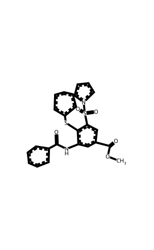 COC(=O)c1cc(NC(=O)c2ccccc2)c(Sc2ccccc2)c(S(=O)(=O)n2cccc2)c1